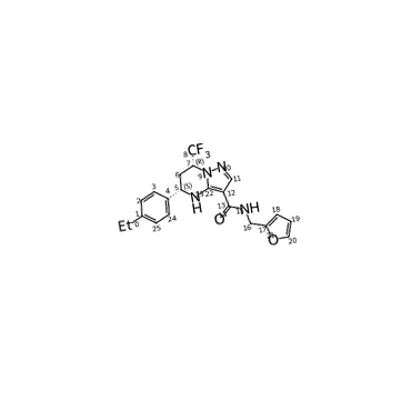 CCc1ccc([C@@H]2C[C@H](C(F)(F)F)n3ncc(C(=O)NCc4ccco4)c3N2)cc1